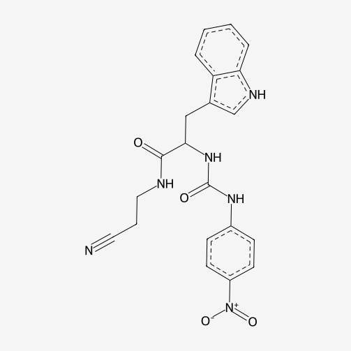 N#CCCNC(=O)C(Cc1c[nH]c2ccccc12)NC(=O)Nc1ccc([N+](=O)[O-])cc1